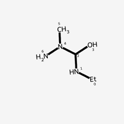 CCNC(O)N(C)N